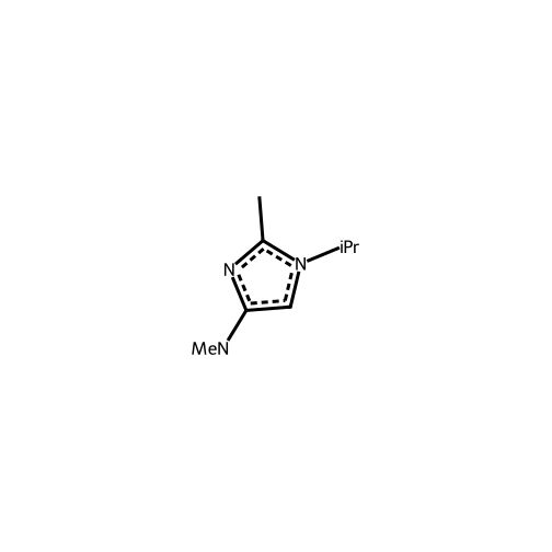 CNc1cn(C(C)C)c(C)n1